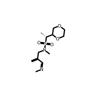 C=C(/C=N\C)CN(C)S(=O)(=O)[C@H](C)C1COCCO1